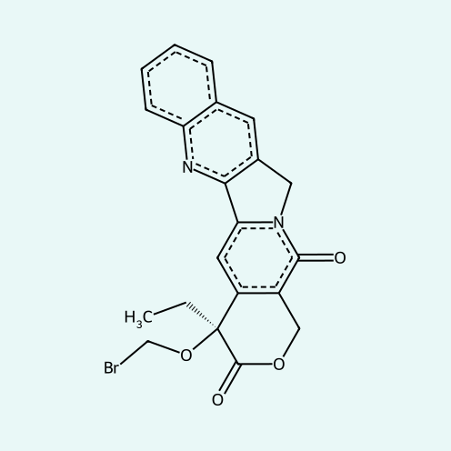 CC[C@@]1(OCBr)C(=O)OCc2c1cc1n(c2=O)Cc2cc3ccccc3nc2-1